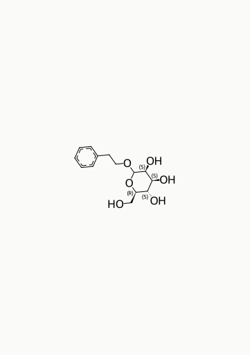 OC[C@H]1OC(OCCc2ccccc2)[C@@H](O)[C@@H](O)[C@@H]1O